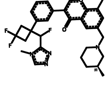 Cc1cc(CN2CCC[C@H](C)C2)cc2c(=O)c(-c3cccc(C4(C(F)c5nncn5C)CC(F)(F)C4)c3)coc12